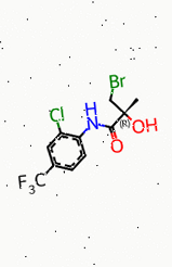 C[C@](O)(CBr)C(=O)Nc1ccc(C(F)(F)F)cc1Cl